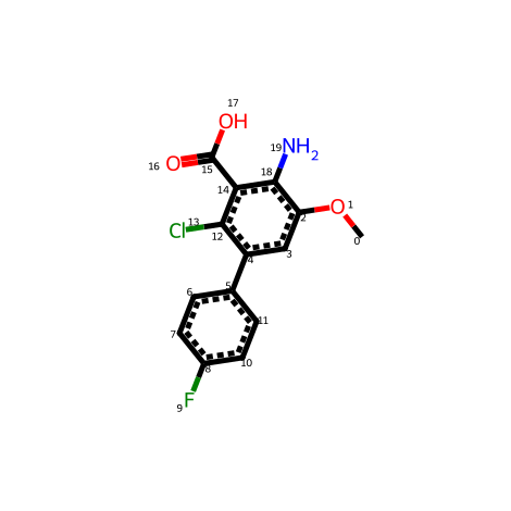 COc1cc(-c2ccc(F)cc2)c(Cl)c(C(=O)O)c1N